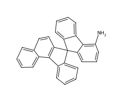 Nc1cccc2c1-c1ccccc1C21c2ccccc2-c2c1ccc1ccccc21